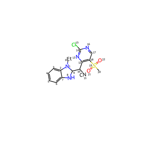 CCN1c2ccccc2NC1C(C#N)c1nc(Cl)ncc1S(C)(=O)=O